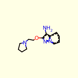 Nc1c(OCCN2CCCC2)nn2ccccc12